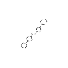 c1ccc(-c2ccc(OOc3ccc(-c4ccccc4)cc3)cc2)cc1